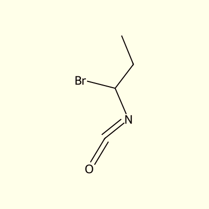 CCC(Br)N=C=O